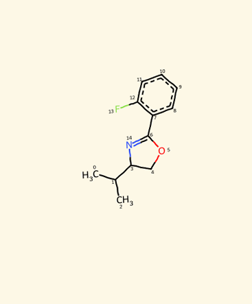 CC(C)C1COC(c2ccccc2F)=N1